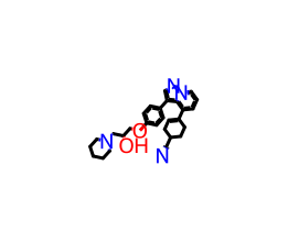 N#CC1CC=C(c2cccn3ncc(-c4ccc(OCC(O)CN5CCCCC5)cc4)c23)CC1